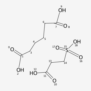 O=C(O)CCCCC(=O)O.O=C(O)CCS(=O)(=O)O